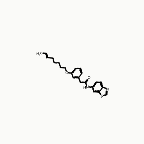 CC=CCCCCCOc1cccc(CC(=O)Nc2ccc3ncsc3c2)c1